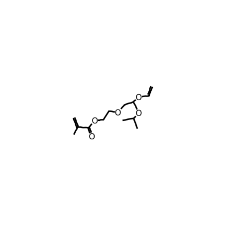 C=COC(COCCOC(=O)C(=C)C)OC(C)C